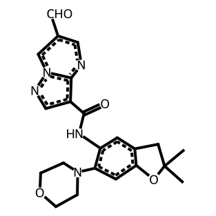 CC1(C)Cc2cc(NC(=O)c3cnn4cc(C=O)cnc34)c(N3CCOCC3)cc2O1